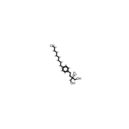 NC(CO)(CO)CCc1ccc(CCCCCCCCCl)cc1